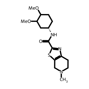 COC1CC[C@H](NC(=O)c2nc3c(s2)CN(C)CC3)CC1OC